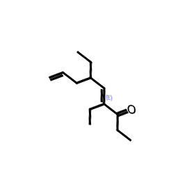 C=CCC(/C=C(\CC)C(=O)CC)CC